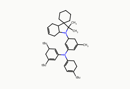 CC1=CC(N(C2=CC(C(C)(C)C)CC(C(C)(C)C)=C2)C2=CC=C(C(C)(C)C)CC2)=CC(N2C3CC=CCC3C3(CCCCC3)C2(C)C)C1